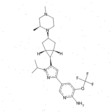 CC(C)n1nc(-c2cnc(N)c(OC(F)(F)F)c2)cc1[C@H]1[C@@H]2C[C@@H](N3CCN(C)C[C@@H]3C)C[C@@H]21